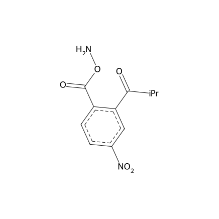 CC(C)C(=O)c1cc([N+](=O)[O-])ccc1C(=O)ON